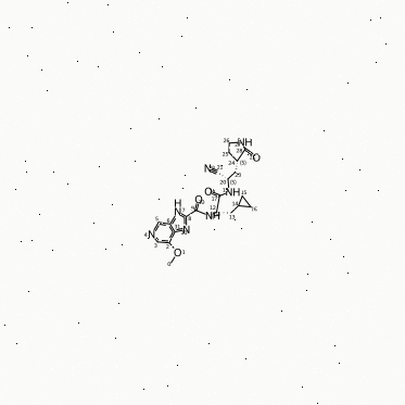 COc1cncc2[nH]c(C(=O)N[C@@H](CC3CC3)C(=O)N[C@H](C#N)C[C@@H]3CCNC3=O)nc12